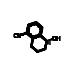 [C-]#[N+]c1cccc2c1CCC[C@H]2O